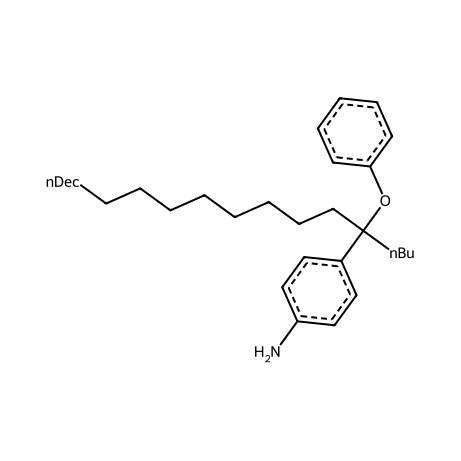 [CH2]CCCC(CCCCCCCCCCCCCCCCCC)(Oc1ccccc1)c1ccc(N)cc1